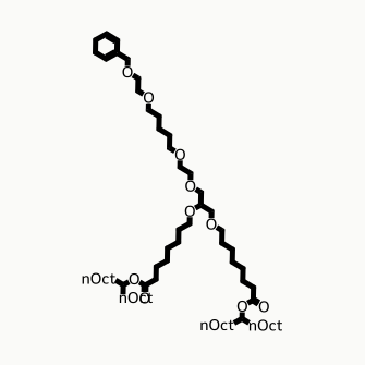 CCCCCCCCC(CCCCCCCC)OC(=O)CCCCCCCOCC(COCCOCCCCCOCCOCC1=CCCC=C1)OCCCCCCCC(=O)OC(CCCCCCCC)CCCCCCCC